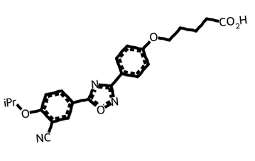 CC(C)Oc1ccc(-c2nc(-c3ccc(OCCCCC(=O)O)cc3)no2)cc1C#N